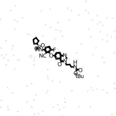 CC(C)(C)OC(=O)NCCCn1cnc2ccc(Oc3c(F)ccc(NS(=O)(=O)C4CCCC4)c3C#N)cc2c1=O